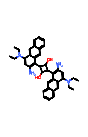 CCN(CC)c1cc(N)c(C2C(O)C(c3c(N)cc(N(CC)CC)c4cc5ccccc5cc34)C2O)c2cc3ccccc3cc12